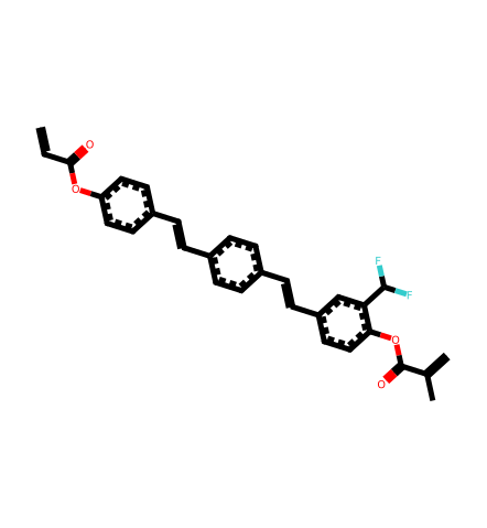 C=CC(=O)Oc1ccc(/C=C/c2ccc(/C=C/c3ccc(OC(=O)C(=C)C)c(C(F)F)c3)cc2)cc1